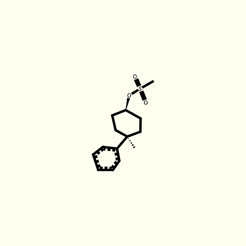 CS(=O)(=O)O[C@H]1CC[C@@](C)(c2ccccc2)CC1